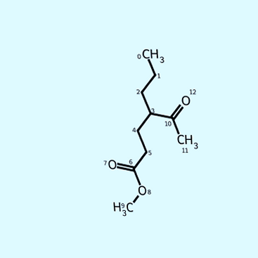 CCCC(CCC(=O)OC)C(C)=O